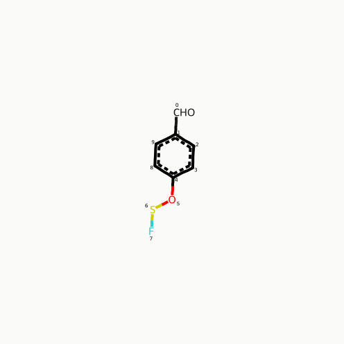 O=Cc1ccc(OSF)cc1